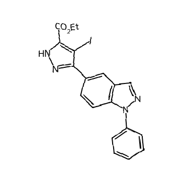 CCOC(=O)c1[nH]nc(-c2ccc3c(cnn3-c3ccccc3)c2)c1I